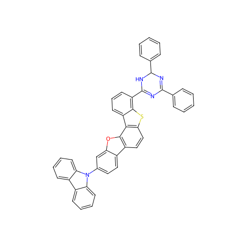 c1ccc(C2=NC(c3ccccc3)NC(c3cccc4c3sc3ccc5c6ccc(-n7c8ccccc8c8ccccc87)cc6oc5c34)=N2)cc1